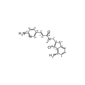 CN(Cc1sc2cccc(P)c2c1Cl)C(=O)/C=C/c1ccc(N)nc1